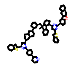 CC1(Cc2cccc(-c3ccc4cc(-c5cc(-c6cc7ccccc7s6)nc(-c6ccc(-c7cccnc7)cc6)n5)ccc4c3)c2)c2ccccc2-c2c(-c3cc(-c4cc5ccccc5s4)nc(-c4ccc5oc6cc7ccccc7cc6c5c4)n3)cccc21